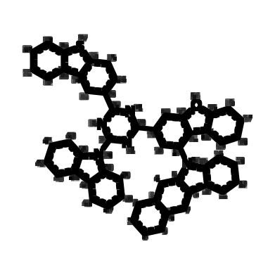 c1ccc2cc3c(cc2c1)c1ccccc1n3-c1cc(-c2nc(-c3ccc4sc5ccccc5c4c3)nc(-n3c4ccccc4c4ccccc43)n2)cc2oc3ccccc3c12